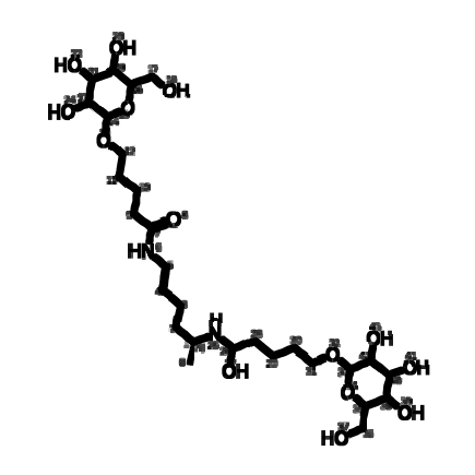 C[C@@H](CCCCNC(=O)CCCCOC1OC(CO)C(O)C(O)C1O)NC(O)CCCCOC1OC(CO)C(O)C(O)C1O